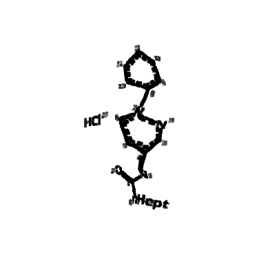 CCCCCCCC(=O)N=c1ccn(-c2ccccc2)nc1.Cl